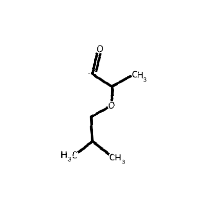 CC(C)COC(C)[C]=O